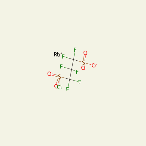 O=S(=O)([O-])C(F)(F)C(F)(F)C(F)(F)S(=O)(=O)Cl.[Rb+]